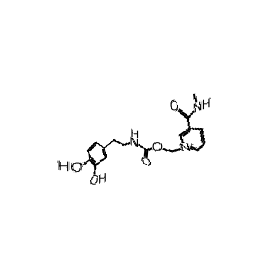 CNC(=O)c1ccc[n+](COC(=O)NCCc2ccc(O)c(O)c2)c1